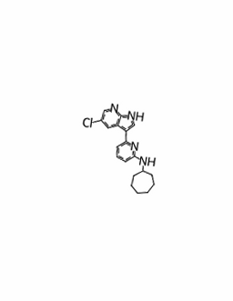 Clc1cnc2[nH]cc(-c3cccc(NC4CCCCCC4)n3)c2c1